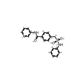 O=C(Nc1cccnc1)c1ccc(CS(=O)(=O)Nc2ccccc2)cc1